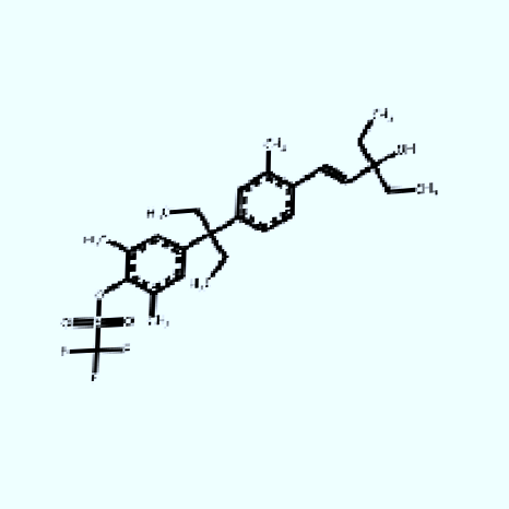 CCC(O)(C=Cc1ccc(C(CC)(CC)c2cc(C)c(OS(=O)(=O)C(F)(F)F)c(C)c2)cc1C)CC